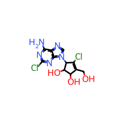 Nc1nc(Cl)nc2c1ncn2C1C(Cl)=C(CO)C(O)C1O